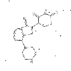 CN1C(=O)CCC(N2Cc3c(cccc3N3CCNCC3)C2=O)C1=O